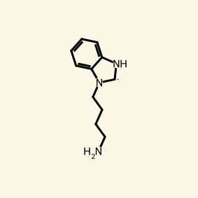 NCCCCN1[CH]Nc2ccccc21